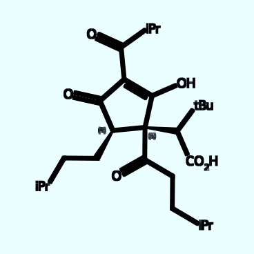 CC(C)CCC(=O)[C@@]1(C(C(=O)O)C(C)(C)C)C(O)=C(C(=O)C(C)C)C(=O)[C@@H]1CCC(C)C